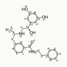 C[C@H](Cc1cccc(C(=O)NCCc2ccccc2)c1)NC[C@H](O)c1cc(O)cc(O)c1